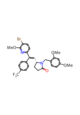 COc1ccc(CN2C(=O)CC[C@@H]2/C=C(\c2ccc(C(F)(F)F)cc2)c2ccc(Br)c(OC)n2)c(OC)c1